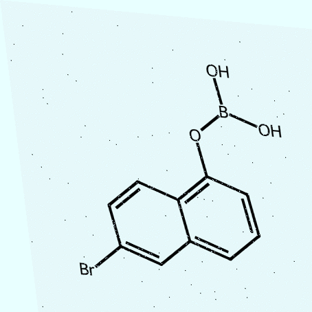 OB(O)Oc1cccc2cc(Br)ccc12